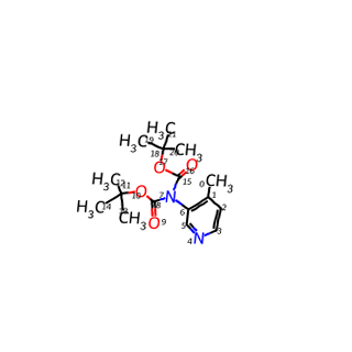 Cc1ccncc1N(C(=O)OC(C)(C)C)C(=O)OC(C)(C)C